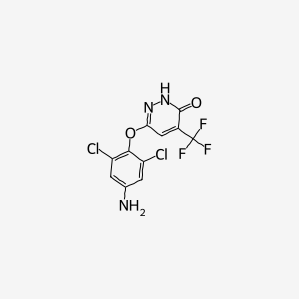 Nc1cc(Cl)c(Oc2cc(C(F)(F)F)c(=O)[nH]n2)c(Cl)c1